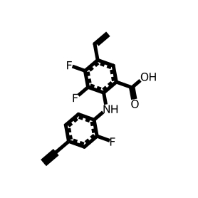 C#Cc1ccc(Nc2c(C(=O)O)cc(C=C)c(F)c2F)c(F)c1